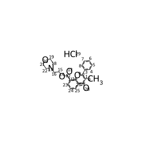 Cc1c(-c2ccccc2)oc2c(C(=O)OCCN3CCOCC3)cccc2c1=O.Cl